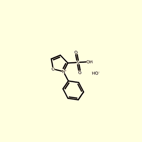 O=S(=O)(O)c1cco[n+]1-c1ccccc1.[OH-]